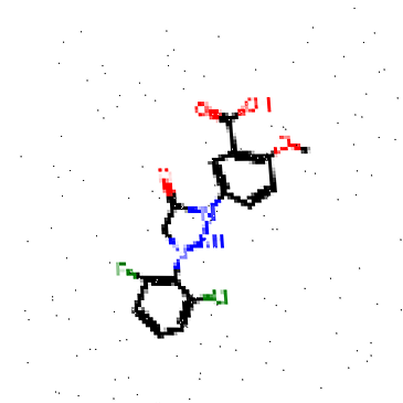 COc1ccc(N2NN(c3c(F)cccc3Cl)CC2=O)cc1C(=O)O